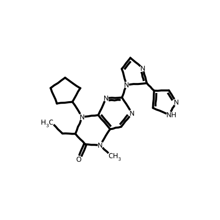 CCC1C(=O)N(C)c2cnc(-n3ccnc3-c3cn[nH]c3)nc2N1C1CCCC1